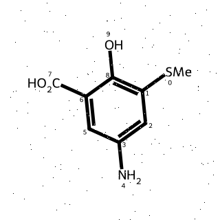 CSc1cc(N)cc(C(=O)O)c1O